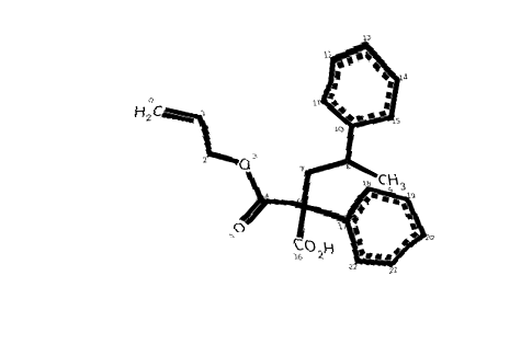 C=CCOC(=O)C(CC(C)c1ccccc1)(C(=O)O)c1ccccc1